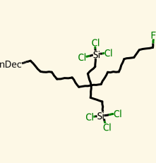 CCCCCCCCCCCCCCCCC(CCCCCCCF)(CC[Si](Cl)(Cl)Cl)CC[Si](Cl)(Cl)Cl